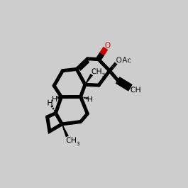 C#CC1(OC(C)=O)C[C@@]2(C)C(=CC1=O)CC[C@H]1[C@@H]3CC[C@@]3(C)CC[C@@H]12